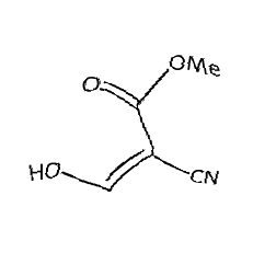 COC(=O)/C(C#N)=C\O